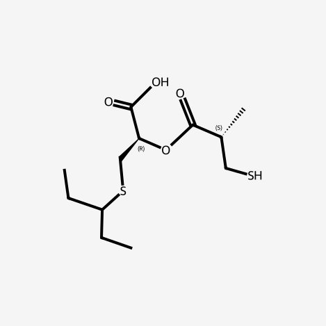 CCC(CC)SC[C@H](OC(=O)[C@H](C)CS)C(=O)O